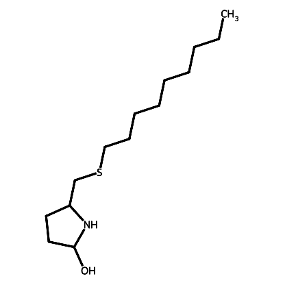 CCCCCCCCCSCC1CCC(O)N1